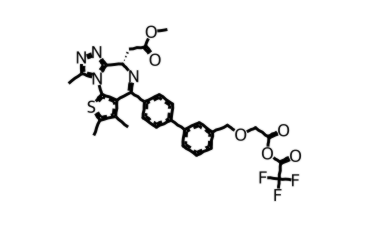 COC(=O)C[C@@H]1N=C(c2ccc(-c3cccc(COCC(=O)OC(=O)C(F)(F)F)c3)cc2)c2c(sc(C)c2C)-n2c(C)nnc21